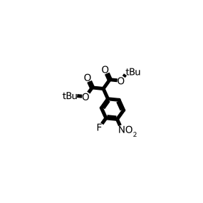 CC(C)(C)OC(=O)C(C(=O)OC(C)(C)C)c1ccc([N+](=O)[O-])c(F)c1